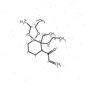 C=CC(=O)C1CCC[Si](OCC)(OCC)C1(CC)OCC